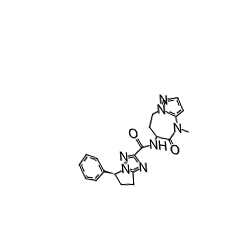 CN1C(=O)C(NC(=O)c2nc3n(n2)[C@H](c2ccccc2)CC3)CCn2nccc21